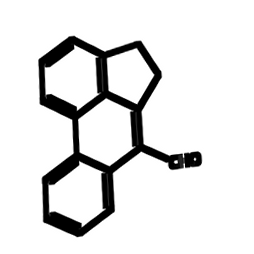 O=Cc1c2c3c(cccc3c3ccccc13)CC2